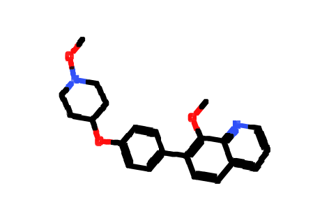 COc1c(-c2ccc(OC3CCN(OC)CC3)cc2)ccc2cccnc12